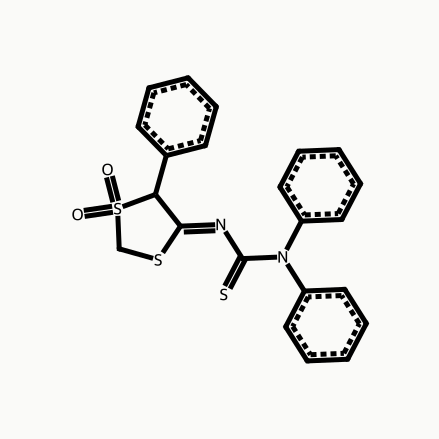 O=S1(=O)CS/C(=N\C(=S)N(c2ccccc2)c2ccccc2)C1c1ccccc1